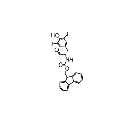 O=[C][C@H](Cc1cc(I)c(O)c(I)c1)NC(=O)OCC1c2ccccc2-c2ccccc21